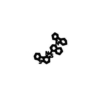 c1ccc2c(c1)sc1ccc3sc(-c4ccc(-n5c6ccccc6c6ccccc65)c5ccccc45)nc3c12